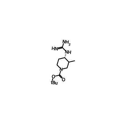 CC1CN(C(=O)OC(C)(C)C)CC[C@@H]1NC(=N)N